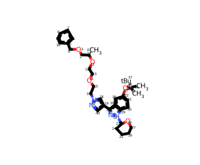 C[C@@H](COCc1ccccc1)OCCOCCn1cc(-c2nn(C3CCCCO3)c3ccc(O[Si](C)(C)C(C)(C)C)cc23)cn1